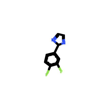 Fc1ccc(C2N=CC=N2)cc1F